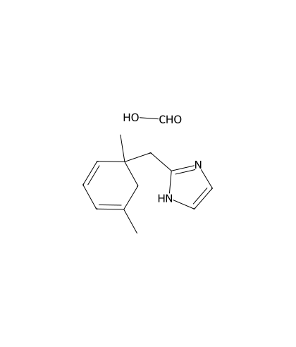 CC1=CC=CC(C)(Cc2ncc[nH]2)C1.O=CO